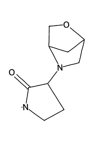 O=C1[N]CCC1N1CC2CC1CO2